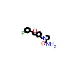 NC(=O)C1CCCN1Cc1ccc2oc(-c3cccc(F)c3)cc2c1